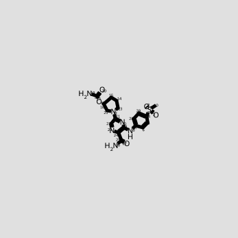 CS(=O)(=O)c1ccc(Nc2nc(N3CCC[C@@H](OC(N)=O)C3)cnc2C(N)=O)cc1